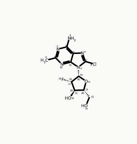 Cc1nc(N)c2nc(Cl)n([C@@H]3O[C@H](CO)[C@@H](O)[C@@H]3F)c2n1